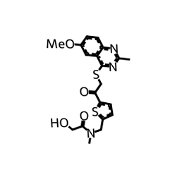 COc1ccc2nc(C)nc(SCC(=O)c3ccc(CN(C)C(=O)CO)s3)c2c1